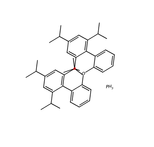 CC(C)c1cc(C(C)C)c(-c2ccccc2Oc2ccccc2-c2c(C(C)C)cc(C(C)C)cc2C(C)C)c(C(C)C)c1.P